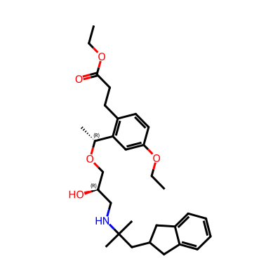 CCOC(=O)CCc1ccc(OCC)cc1[C@@H](C)OC[C@H](O)CNC(C)(C)CC1Cc2ccccc2C1